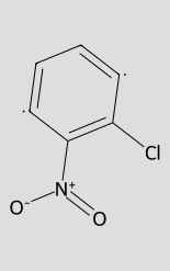 O=[N+]([O-])c1[c]cc[c]c1Cl